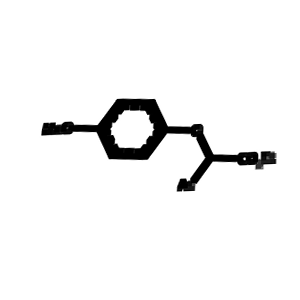 CCOC(=O)C(Oc1ccc(OC)cc1)C(C)=O